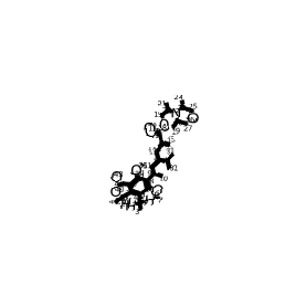 [2H]C([2H])(C)c1c(OC)c(C(C)/C=C(/CC(C)C(=O)OCC(C)N2C(C)COCC2C)C(C)C)c(OC)c2c1C([2H])(C)OC2=O